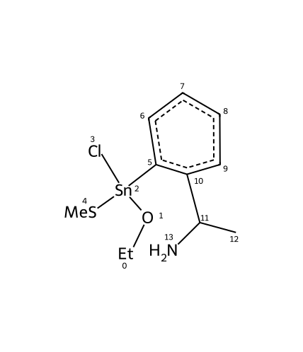 CC[O][Sn]([Cl])([S]C)[c]1ccccc1C(C)N